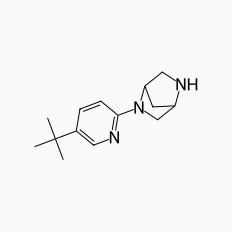 CC(C)(C)c1ccc(N2CC3CC2CN3)nc1